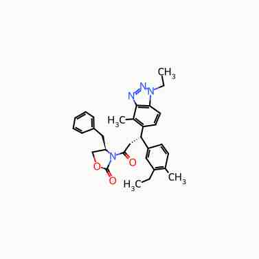 CCc1cc([C@H](CC(=O)N2C(=O)OC[C@H]2Cc2ccccc2)c2ccc3c(nnn3CC)c2C)ccc1C